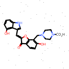 O=C1C(=Cc2c[nH]c3cccc(O)c23)Oc2c1ccc(O)c2CN1CCN(C(=O)O)CC1